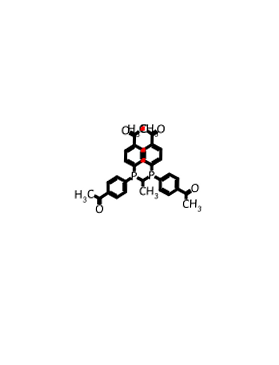 CC(=O)c1ccc(P(c2ccc(C(C)=O)cc2)C(C)P(c2ccc(C(C)=O)cc2)c2ccc(C(C)=O)cc2)cc1